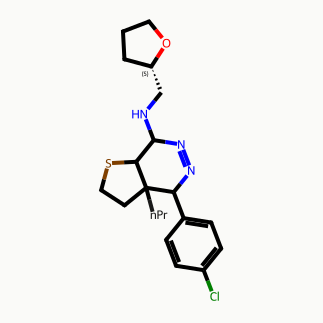 CCCC12CCSC1C(NC[C@@H]1CCCO1)N=NC2c1ccc(Cl)cc1